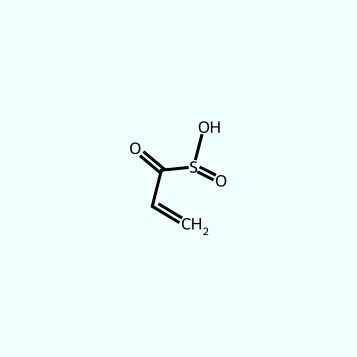 C=CC(=O)S(=O)O